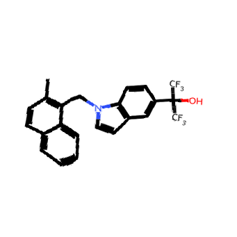 Cc1ccc2ccccc2c1Cn1ccc2cc(C(O)(C(F)(F)F)C(F)(F)F)ccc21